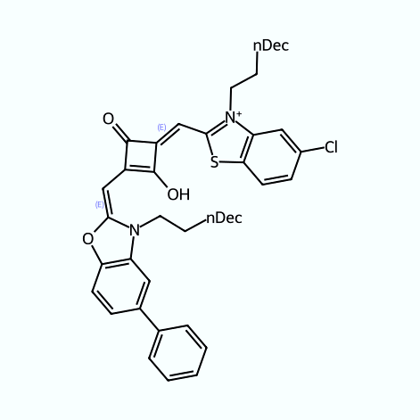 CCCCCCCCCCCCN1/C(=C\C2=C(O)C(=C\c3sc4ccc(Cl)cc4[n+]3CCCCCCCCCCCC)/C2=O)Oc2ccc(-c3ccccc3)cc21